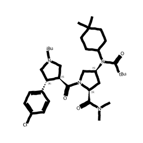 CCC(C)N1C[C@@H](C(=O)N2C[C@@H](N(C(=O)C(C)(C)C)C3CCC(C)(C)CC3)C[C@H]2C(=O)N(C)C)[C@H](c2ccc(Cl)cc2)C1